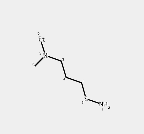 CCN(C)CCCSN